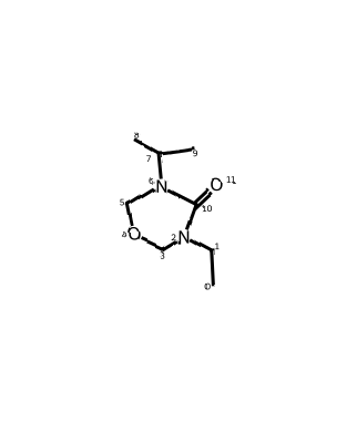 CCN1COCN(C(C)C)C1=O